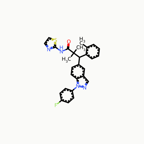 Cc1ccccc1C(c1ccc2c(cnn2-c2ccc(F)cc2)c1)C(C)(C)C(=O)Nc1nccs1